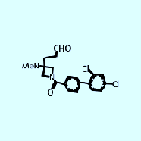 CNC1(CCC=O)CN(C(=O)c2ccc(-c3ccc(Cl)cc3Cl)cc2)C1